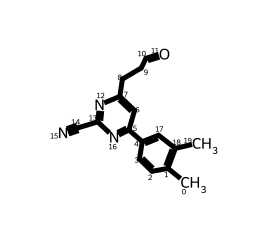 Cc1ccc(-c2cc(CCC=O)nc(C#N)n2)cc1C